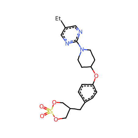 CCc1cnc(N2CCC(Oc3ccc(CC4COS(=O)(=O)OC4)cc3)CC2)nc1